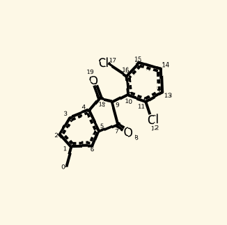 Cc1ccc2c(c1)C(=O)C(c1c(Cl)cccc1Cl)C2=O